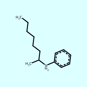 CCCCCCC(C)[SiH2]c1ccccc1